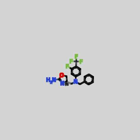 NC1=N[C@@H](CN(Cc2ccccc2)c2ccc(C(F)(F)F)c(F)c2)CO1